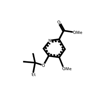 CCC(C)(C)Oc1cnc(C(=O)OC)cc1OC